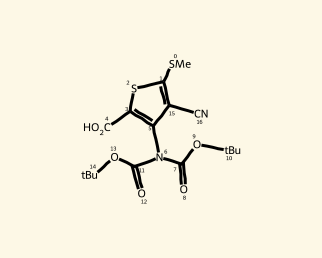 CSc1sc(C(=O)O)c(N(C(=O)OC(C)(C)C)C(=O)OC(C)(C)C)c1C#N